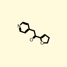 O=C(Cc1ccncc1)C1=CCCO1